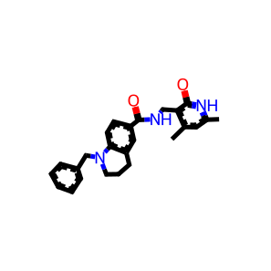 Cc1cc(C)c(CNC(=O)c2ccc3c(c2)CCCN3Cc2ccccc2)c(=O)[nH]1